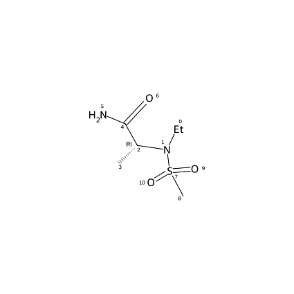 CCN([C@H](C)C(N)=O)S(C)(=O)=O